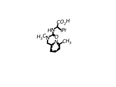 Cc1cccc(CN(C)C(=O)NC(C(=O)O)C(C)C)n1